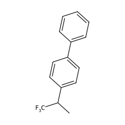 CC(c1ccc(-c2ccccc2)cc1)C(F)(F)F